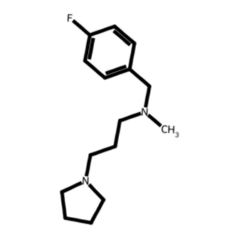 CN(CCCN1CCCC1)Cc1ccc(F)cc1